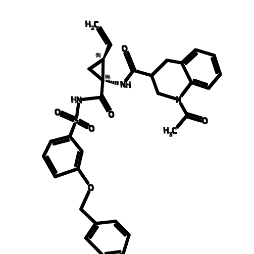 C=C[C@@H]1C[C@]1(NC(=O)C1Cc2ccccc2N(C(C)=O)C1)C(=O)NS(=O)(=O)c1cccc(OCc2ccccc2)c1